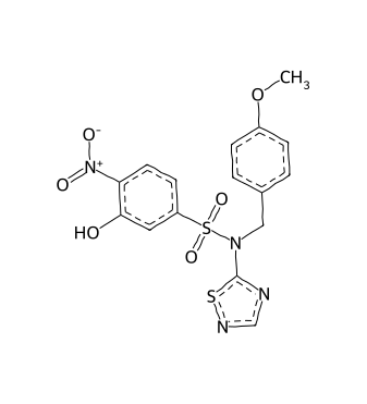 COc1ccc(CN(c2ncns2)S(=O)(=O)c2ccc([N+](=O)[O-])c(O)c2)cc1